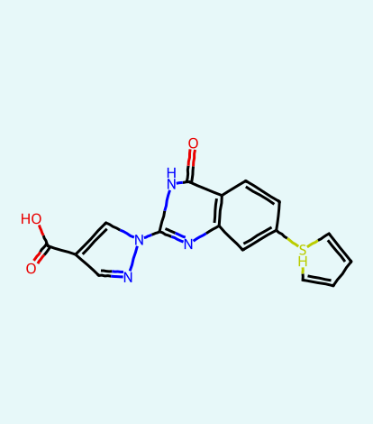 O=C(O)c1cnn(-c2nc3cc([SH]4C=CC=C4)ccc3c(=O)[nH]2)c1